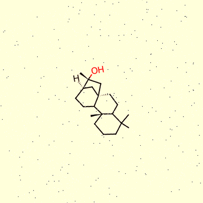 CC1(C)CCC[C@@]2(C)C1CC[C@@]13C[C@@H](CCC12)[C@](C)(O)C3